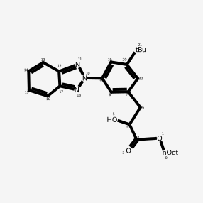 CCCCCCCCOC(=O)C(O)Cc1cc(-n2nc3ccccc3n2)cc(C(C)(C)C)c1